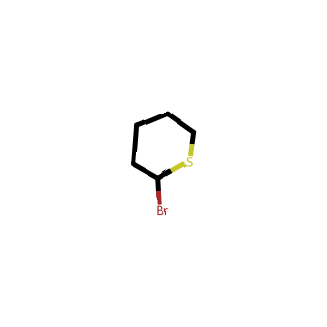 BrC1CCCCS1